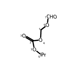 CC(C)OC(=O)OCOC=O